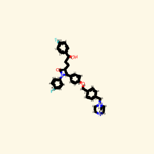 O=C1C(CCC(O)c2ccc(F)cc2)C(c2ccc(OCc3ccc(C[N+]45CCN(CC4)CC5)cc3)cc2)N1c1ccc(F)cc1